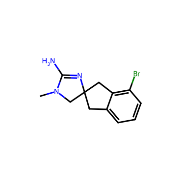 CN1CC2(Cc3cccc(Br)c3C2)N=C1N